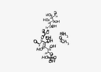 CON.O=C[C@H](OP(=O)(O)OC[C@@H](O)[C@H](O)[C@H](O)[C@@H](O)C=O)[C@@H](O)[C@@H](O)[C@H](O)COP(=O)(O)O